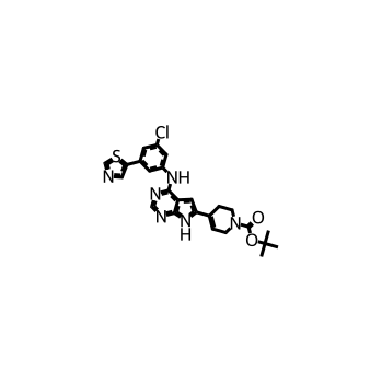 CC(C)(C)OC(=O)N1CC=C(c2cc3c(Nc4cc(Cl)cc(-c5cncs5)c4)ncnc3[nH]2)CC1